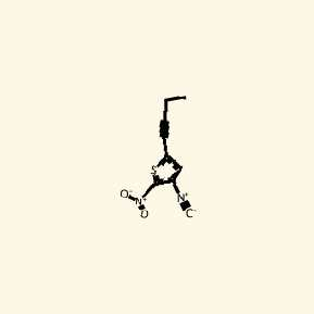 [C-]#[N+]c1cc(C#CCC)sc1[N+](=O)[O-]